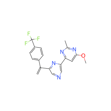 C=C(c1ccc(C(F)(F)F)cc1)c1cncc(-c2cc(OC)nc(C)n2)n1